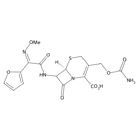 CO/N=C(\C(=O)NC1C(=O)N2C(C(=O)O)=C(COC(N)=O)CS[C@H]12)c1ccco1